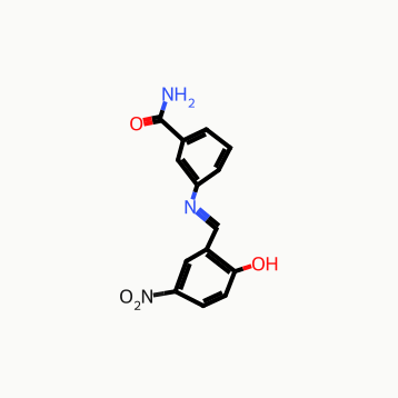 NC(=O)c1cccc(/N=C/c2cc([N+](=O)[O-])ccc2O)c1